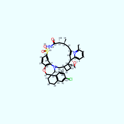 CO[C@@]1(c2cccc(C)n2)/C=C/C[C@H](C)[C@@H](C)C(=O)NS(=O)(=O)c2ccc3c(c2)N(C[C@@H]2CC[C@H]21)C[C@@]1(CCCc2cc(Cl)ccc21)CO3